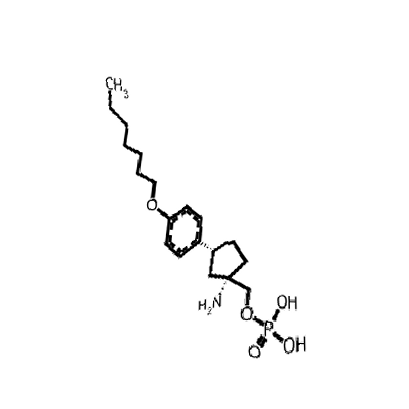 CCCCCCCOc1ccc([C@@H]2CC[C@@](N)(COP(=O)(O)O)C2)cc1